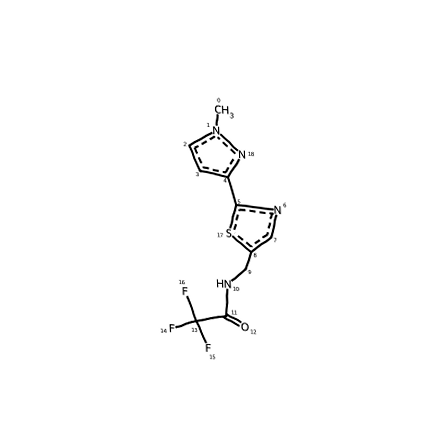 Cn1ccc(-c2ncc(CNC(=O)C(F)(F)F)s2)n1